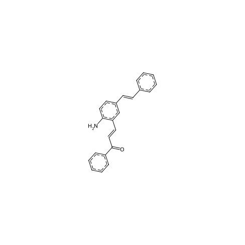 Nc1ccc(C=Cc2ccccc2)cc1/C=C/C(=O)c1ccccc1